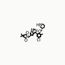 Cc1cc(Cl)cc(-c2ncnn3cc(CN4C(=O)C5C(C4=O)C5(C)C)cc23)c1OC[C@@H]1CCCNC1